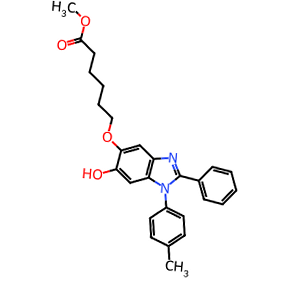 COC(=O)CCCCCOc1cc2nc(-c3ccccc3)n(-c3ccc(C)cc3)c2cc1O